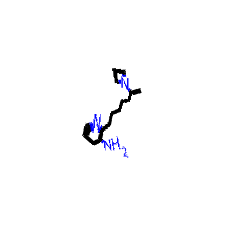 CC(CCCCCc1ncccc1N)N1CCC1